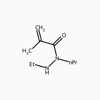 C=C(C)C(=O)N(CCC)NCC